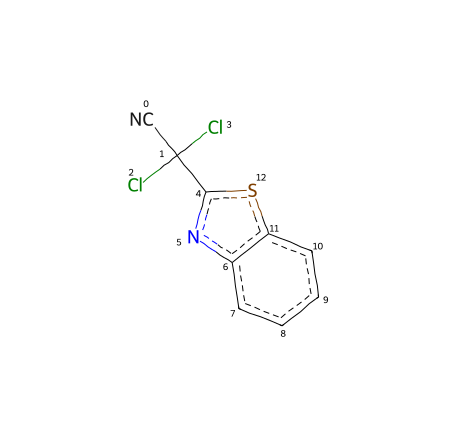 N#CC(Cl)(Cl)c1nc2ccccc2s1